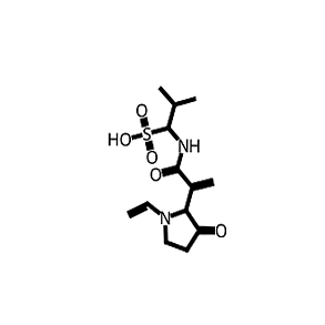 C=CN1CCC(=O)C1C(=C)C(=O)NC(C(C)C)S(=O)(=O)O